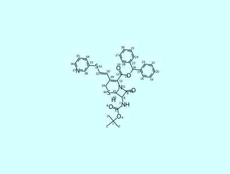 CC(C)(C)OC(=O)NC1C(=O)N2C(C(=O)OC(c3ccccc3)c3ccccc3)=C(/C=C/Sc3cccnc3)CS[C@H]12